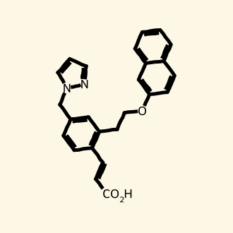 O=C(O)C=Cc1ccc(Cn2cccn2)cc1CCOc1ccc2ccccc2c1